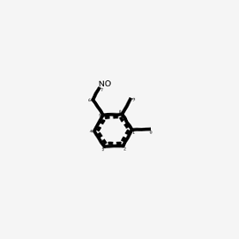 Cc1cccc(CN=O)c1C